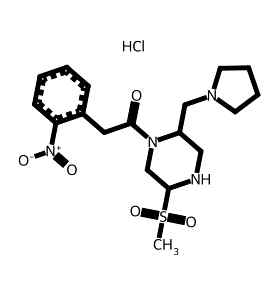 CS(=O)(=O)C1CN(C(=O)Cc2ccccc2[N+](=O)[O-])C(CN2CCCC2)CN1.Cl